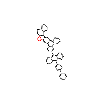 c1ccc(-c2ccc(-c3c4ccccc4c(-c4ccc5c(c4)c4ccccc4c4cc6c(cc54)oc4ccc5ccccc5c46)c4ccccc34)cc2)cc1